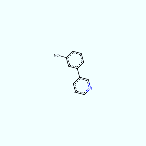 N#Cc1cccc(-c2c[c]cnc2)c1